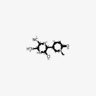 Cn1cc(-c2nc(C#N)c(N)nc2Cl)ccc1=O